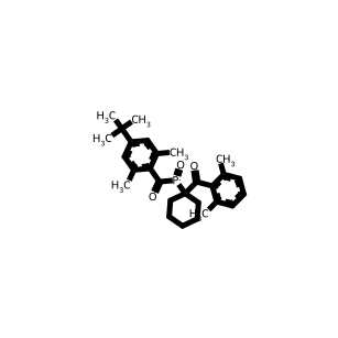 Cc1cc(C(C)(C)C)cc(C)c1C(=O)[P](=O)C1(C(=O)c2c(C)cccc2C)CCCCC1